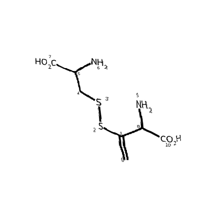 C=C(SSCC(N)C(=O)O)C(N)C(=O)O